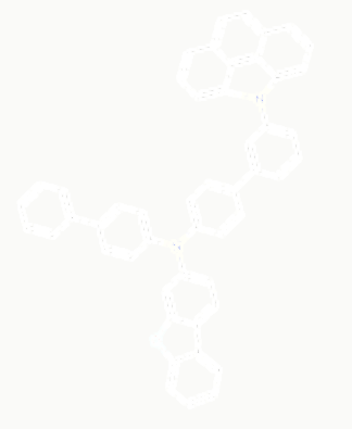 c1ccc(-c2ccc(N(c3ccc(-c4cccc(-n5c6cccc7ccc8cccc5c8c76)c4)cc3)c3ccc4c(c3)oc3ccccc34)cc2)cc1